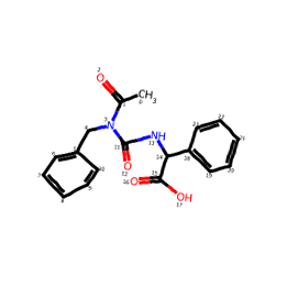 CC(=O)N(Cc1ccccc1)C(=O)NC(C(=O)O)c1ccccc1